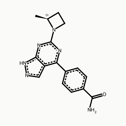 C[C@H]1CCN1c1nc(-c2ccc(C(N)=O)cc2)c2cn[nH]c2n1